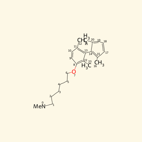 CNCCCCCCOc1ccc(C)c(-c2c(C)cccc2C)c1C